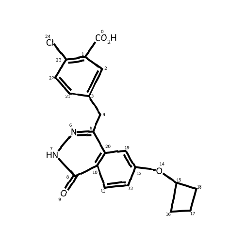 O=C(O)c1cc(Cc2n[nH]c(=O)c3ccc(OC4CCC4)cc23)ccc1Cl